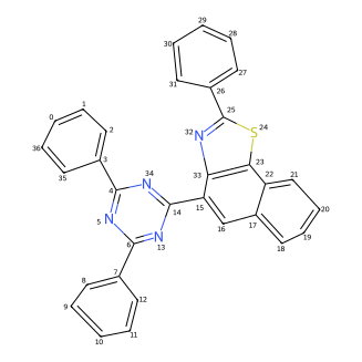 c1ccc(-c2nc(-c3ccccc3)nc(-c3cc4ccccc4c4sc(-c5ccccc5)nc34)n2)cc1